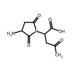 CC(=O)CC(C(=O)O)N1C(=O)CC(N)C1=O